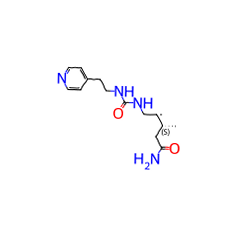 C[C@@H]([CH]CNC(=O)NCCc1ccncc1)CC(N)=O